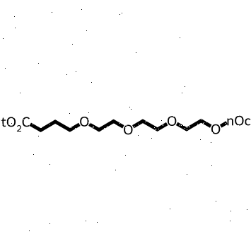 CCCCCCCCOCCOCCOCCOCCCC(=O)OCC